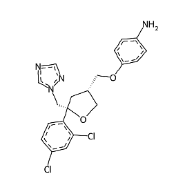 Nc1ccc(OC[C@@H]2CO[C@@](Cn3cncn3)(c3ccc(Cl)cc3Cl)C2)cc1